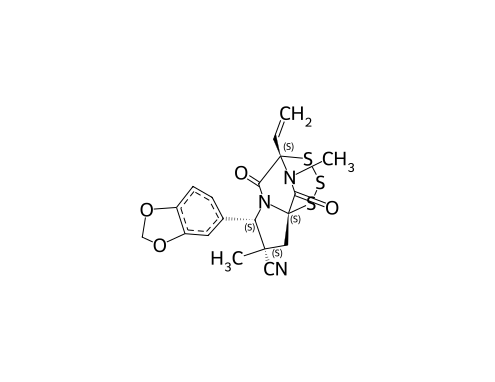 C=C[C@]12SSS[C@@]3(C[C@](C)(C#N)[C@H](c4ccc5c(c4)OCO5)N3C1=O)C(=O)N2C